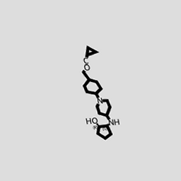 O[C@@H]1CCC[C@@H]1NC1CCN(C2CCC(COCC3CC3)CC2)CC1